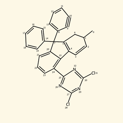 CC1C=CC2=C(C1)C(c1c#cccc1)(c1ccccc1)c1cccc(-c3nc(Cl)nc(Cl)n3)c12